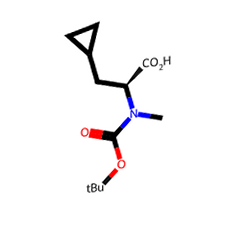 CN(C(=O)OC(C)(C)C)[C@@H](CC1CC1)C(=O)O